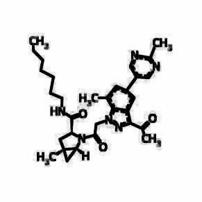 CCCCCCCNC(=O)[C@@H]1C[C@@]2(C)C[C@H]2N1C(=O)Cn1nc(C(C)=O)c2cc(-c3cnc(C)nc3)cc(C)c21